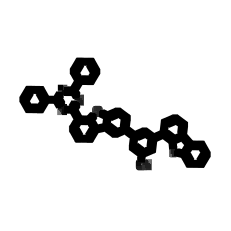 N#Cc1cc(-c2ccc3oc4c(-c5nc(-c6ccccc6)nc(-c6ccccc6)n5)cccc4c3c2)cc(-c2cccc3c2sc2ccccc23)c1